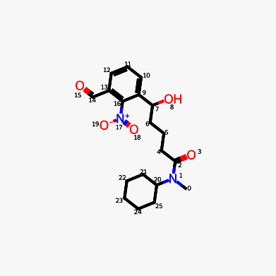 CN(C(=O)CCCC(O)c1cccc(C=O)c1[N+](=O)[O-])C1CCCCC1